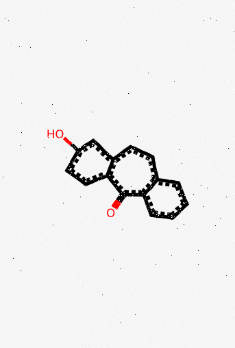 O=c1c2ccccc2ccc2cc(O)ccc12